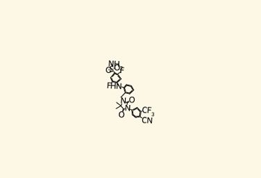 CC1(C)C(=O)N(c2ccc(C#N)c(C(F)(F)F)c2)C(=O)N1Cc1ccccc1Nc1cc(F)c(S(N)(=O)=O)cc1F